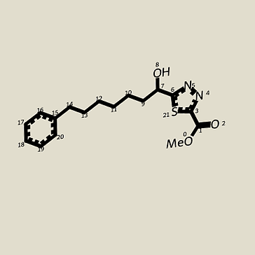 COC(=O)c1nnc(C(O)CCCCCCc2ccccc2)s1